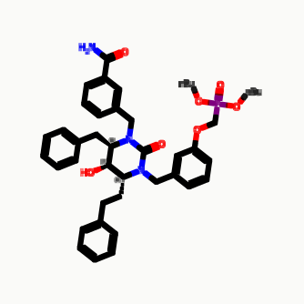 CCCCOP(=O)(COc1cccc(CN2C(=O)N(Cc3cccc(C(N)=O)c3)[C@H](Cc3ccccc3)[C@H](O)[C@H]2CCc2ccccc2)c1)OCCCC